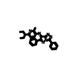 CCC(CC)c1ccc(/N=C2\C(c3ccccc3)=Nn3c2nnc3-c2ccccc2)c(C)n1